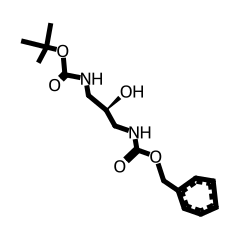 CC(C)(C)OC(=O)NC[C@@H](O)CNC(=O)OCc1ccccc1